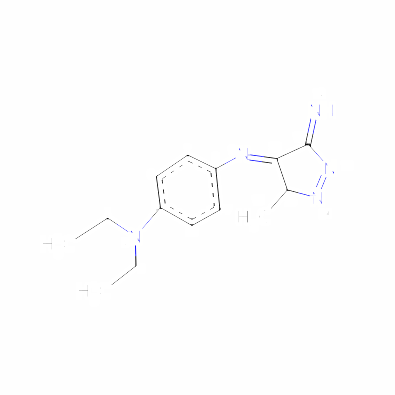 CCN(CC)c1ccc(N=C2C(=N)N=NC2C)cc1